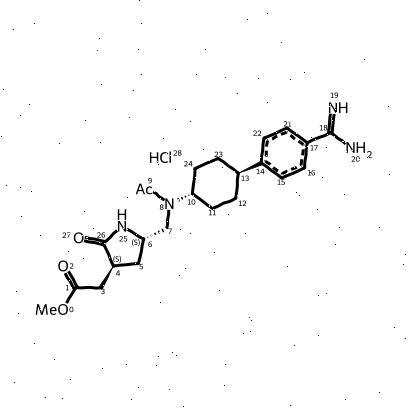 COC(=O)C[C@@H]1C[C@@H](CN(C(C)=O)[C@H]2CC[C@H](c3ccc(C(=N)N)cc3)CC2)NC1=O.Cl